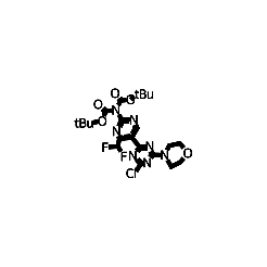 CC(C)(C)OC(=O)N(C(=O)OC(C)(C)C)c1ncc(-c2nc(Cl)nc(N3CCOCC3)n2)c(C(F)F)n1